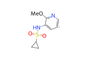 COc1nc[c]cc1NS(=O)(=O)C1CC1